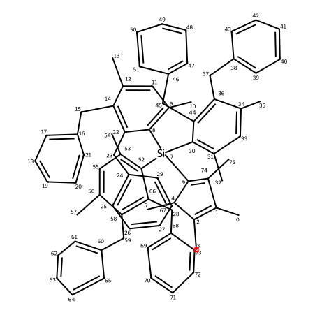 CC1=C(C)C(C)C([Si](c2c(C)cc(C)c(Cc3ccccc3)c2Cc2ccccc2)(c2c(C)cc(C)c(Cc3ccccc3)c2Cc2ccccc2)c2c(C)cc(C)c(Cc3ccccc3)c2Cc2ccccc2)=C1C